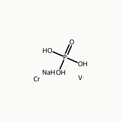 O=P(O)(O)O.[Cr].[NaH].[V]